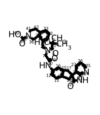 CC(C)(C)C(=O)N(CC(=O)Nc1ccc2c(c1)CC1(C2)C(=O)Nc2ncccc21)Cc1cccc2c1CN(C(=O)O)CC2